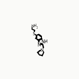 NCCSc1ccc2[nH]c(CN3CCCCC3)nc2c1